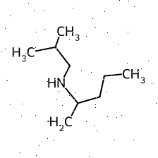 [CH2]C(CCC)NCC(C)C